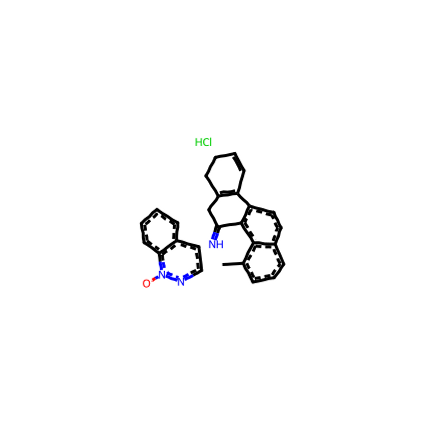 Cc1cccc2ccc3c(c12)C(=N)CC1=C3C=CCC1.Cl.[O-][n+]1nccc2ccccc21